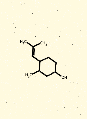 CC(C)=CC1CCC(O)CC1C